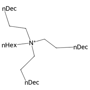 CCCCCCCCCCCC[N+](CCCCCC)(CCCCCCCCCCCC)CCCCCCCCCCCC